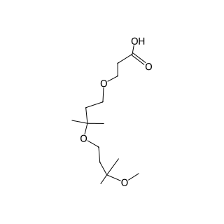 COC(C)(C)CCOC(C)(C)CCOCCC(=O)O